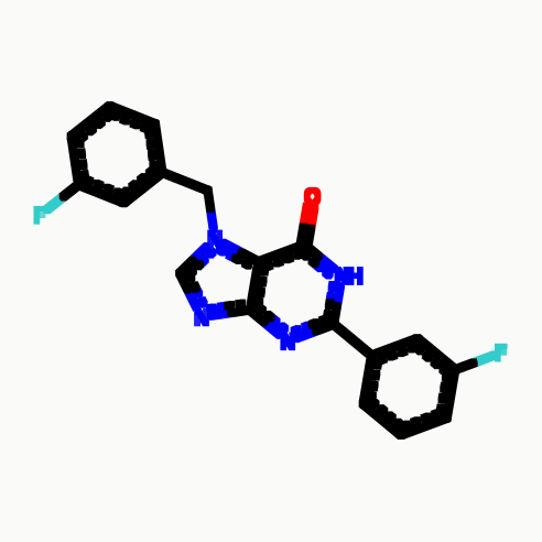 O=c1[nH]c(-c2cccc(F)c2)nc2ncn(Cc3cccc(F)c3)c12